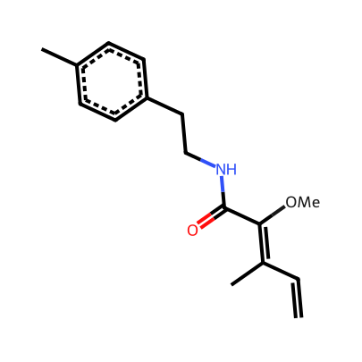 C=C/C(C)=C(\OC)C(=O)NCCc1ccc(C)cc1